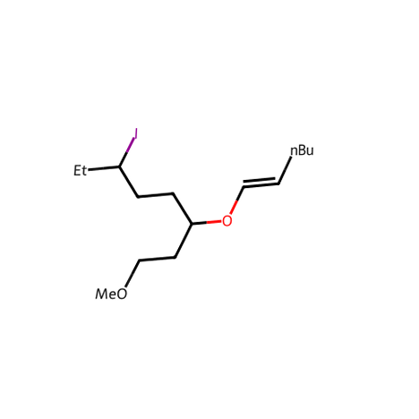 CCCCC=COC(CCOC)CCC(I)CC